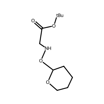 CC(C)(C)OC(=O)CNOC1CCCCO1